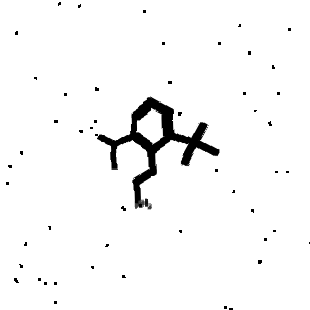 CC(C)c1cccc(C(C)(C)C)c1CCN